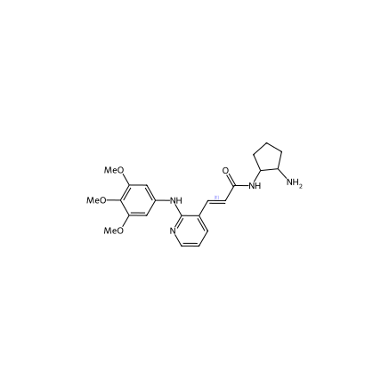 COc1cc(Nc2ncccc2/C=C/C(=O)NC2CCCC2N)cc(OC)c1OC